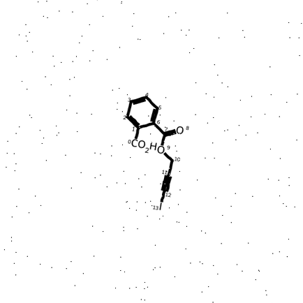 O=C(O)c1ccccc1C(=O)OCC#CI